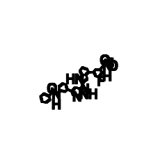 CS(=O)(=O)NCc1cc(F)cc(-c2cccc3[nH]c(-c4n[nH]c5ncc(-c6cccc(NC(=O)c7ccccc7)c6)cc45)cc23)c1